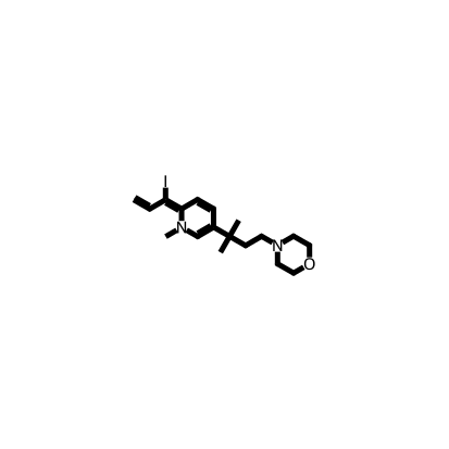 C=C/C(I)=C1/C=CC(C(C)(C)CCN2CCOCC2)=CN1C